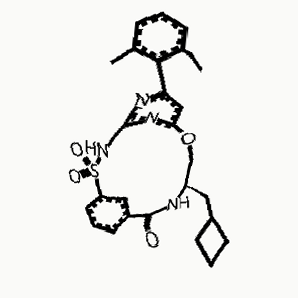 Cc1cccc(C)c1-c1cc2nc(n1)NS(=O)(=O)c1cccc(c1)C(=O)N[C@H](CC1CCC1)CO2